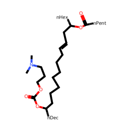 CCCCCCCCCCC(CCCCCCCC=CCC(CCCCCC)OC(=O)CCCCC)OC(=O)OCCCN(C)C